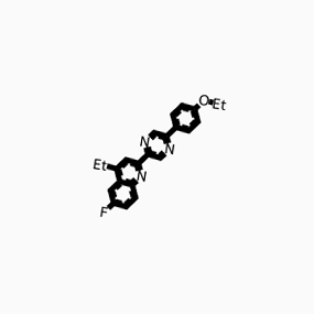 CCOc1ccc(-c2cnc(-c3cc(CC)c4cc(F)ccc4n3)cn2)cc1